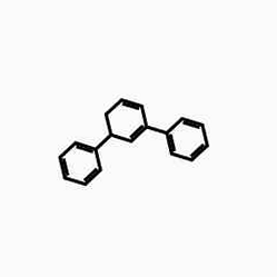 C1=CC(c2ccccc2)=CC(c2ccccc2)C1